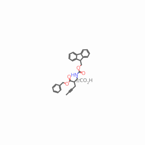 CC#CCC(C(=O)OCc1ccccc1)[C@H](NC(=O)OCC1c2ccccc2-c2ccccc21)C(=O)O